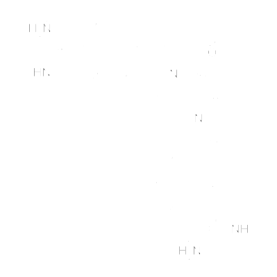 N=C(N)c1ccc(CN2CCN(Cc3cccc(C(=N)N)c3)CC2=O)cc1